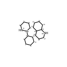 C1CCC(N2CCCCN2)CC1.C1CCC2NCCCC2C1